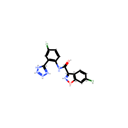 O=C(Nc1ccc(Cl)cc1-c1nnn[nH]1)c1noc2cc(Cl)ccc12